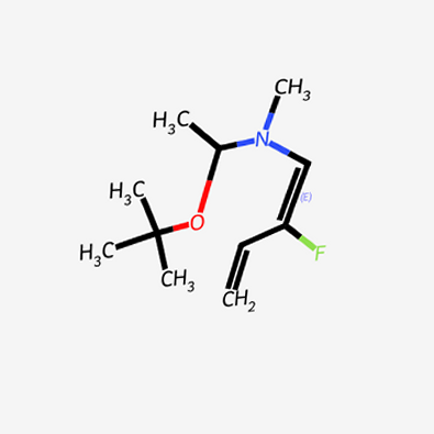 C=C/C(F)=C\N(C)C(C)OC(C)(C)C